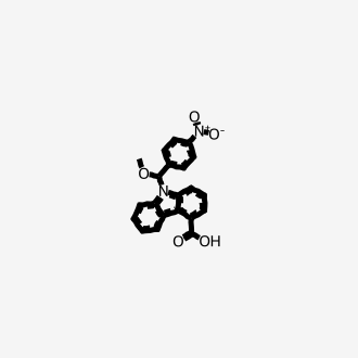 COC(c1ccc([N+](=O)[O-])cc1)n1c2ccccc2c2c(C(=O)O)cccc21